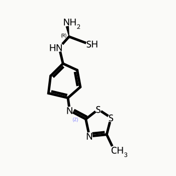 Cc1n/c(=N/c2ccc(N[C@@H](N)S)cc2)ss1